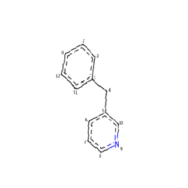 c1ccc(Cc2cccnc2)cc1